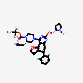 CN1CCC[C@H]1COc1nc(N2CCN(C(=O)OC(C)(C)C)[C@@H](CC#N)C2)c2c(cc(-c3c(F)cccc3F)c3ccoc32)n1